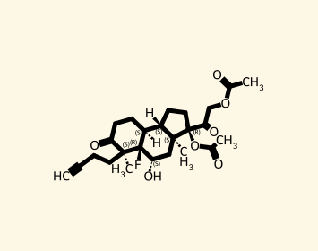 C#CCC[C@@]1(C)C(=O)CC[C@H]2[C@@H]3CC[C@](OC(C)=O)(C(=O)COC(C)=O)[C@@]3(C)C[C@H](O)[C@@]21F